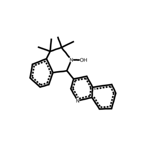 CC1(C)c2ccccc2C(c2cnc3ccccc3c2)N(O)C1(C)C